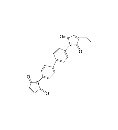 CCC1=CC(=O)N(c2ccc(-c3ccc(N4C(=O)C=CC4=O)cc3)cc2)C1=O